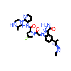 C=C/N=N\C=C(/C)c1ccc2c(c1)c(C(N)=O)nn2CC(=O)N1CC(F)CC1C(=O)Nc1cccnc1N1CCNC(C)C1